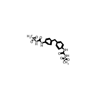 CS(=O)(=O)NC(=O)Nc1ccc(Cc2ccc(NC(=O)NS(C)(=O)=O)cc2)cc1